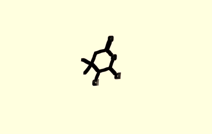 CC1(C)CC(=O)OC(Cl)C1Cl